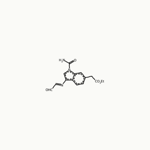 CCOC(=O)Cc1ccc2c(N=CC=O)cn(C(N)=O)c2c1